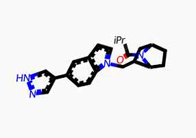 CC(C)C(=O)N1C2CCC1C(Cn1ccc3cc(-c4cn[nH]c4)ccc31)C2